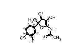 CC(=O)NC1=C(O)C(=O)C(C)(c2ccc(Cl)c(F)c2)O1